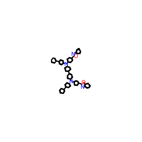 c1ccc2oc(-c3ccc(N(c4ccc(C5=CCCC=C5)cc4)c4ccc(-c5ccc(N(c6ccc(-c7ccccc7)cc6)c6ccc(-c7nc8ccccc8o7)cc6)cc5)cc4)cc3)nc2c#1